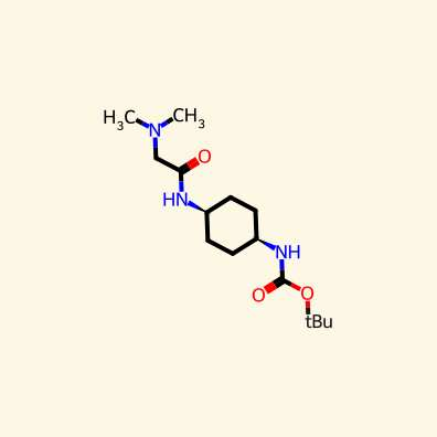 CN(C)CC(=O)N[C@H]1CC[C@@H](NC(=O)OC(C)(C)C)CC1